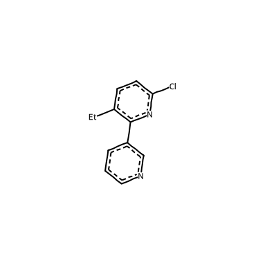 [CH2]Cc1ccc(Cl)nc1-c1cccnc1